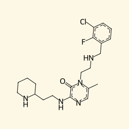 Cc1cnc(NCCC2CCCCN2)c(=O)n1CCNCc1cccc(Cl)c1F